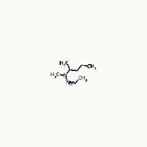 C/C=N\N(C)C(C)CCC